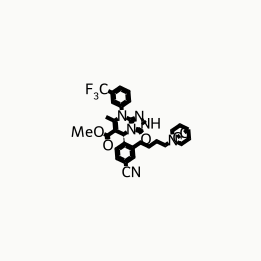 COC(=O)C1=C(C)N(c2cccc(C(F)(F)F)c2)c2n[nH]c(=O)n2[C@@H]1c1ccc(C#N)cc1CCCC[N+]12CCC(CC1)CC2